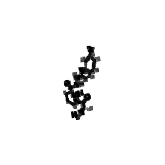 C[C@H](N)C(=O)N1CCC[C@@H](C(=O)NN(C)c2ccc3ccc(Br)cc3n2)N1